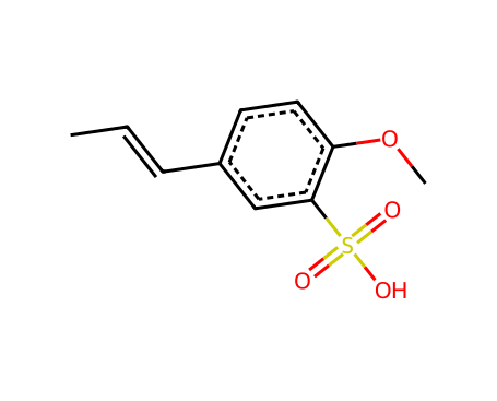 C/C=C/c1ccc(OC)c(S(=O)(=O)O)c1